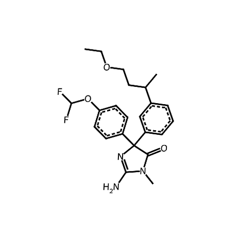 CCOCCC(C)c1cccc(C2(c3ccc(OC(F)F)cc3)N=C(N)N(C)C2=O)c1